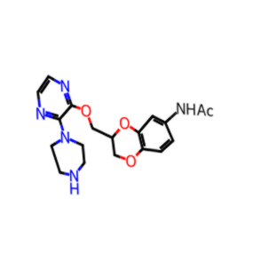 CC(=O)Nc1ccc2c(c1)OC(COc1nccnc1N1CCNCC1)CO2